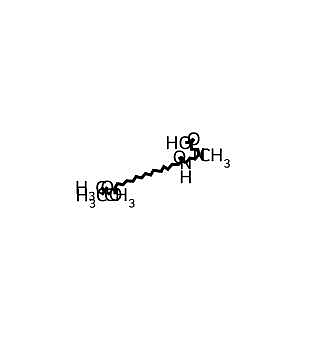 CN(CCNC(=O)CCCCCCCCCCCCCCC(=O)OC(C)(C)C)CCC(=O)O